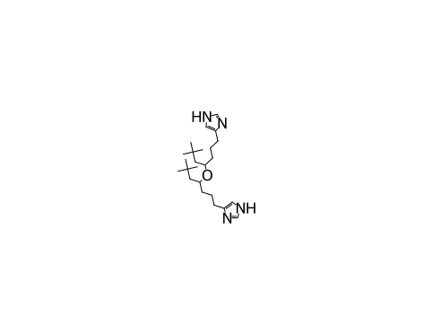 CC(C)(C)CC(CCCc1c[nH]cn1)OC(CCCc1c[nH]cn1)CC(C)(C)C